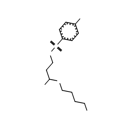 CCCCCOC(C)CCOS(=O)(=O)c1ccc(C)cc1